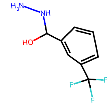 NNC(O)c1cccc(C(F)(F)F)c1